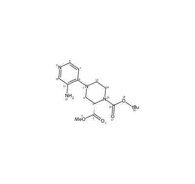 COC(=O)[C@@H]1CN(c2ccncc2N)CCN1C(=O)OC(C)(C)C